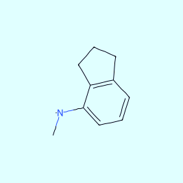 C[N]c1cccc2c1CCC2